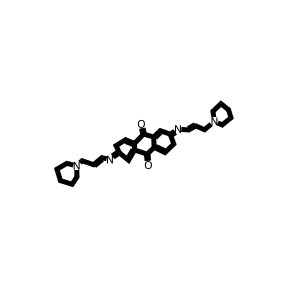 O=C1C2=CCC(=NC=CCN3CCCCC3)C=C2C(=O)C2=CCC(=NC=CCN3CCCCC3)C=C12